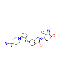 CC1(C#N)CCN([C@@H]2CCC[C@H]2Oc2ccc3c(c2)CN(C2CCC(=O)NC2=O)C3=O)CC1